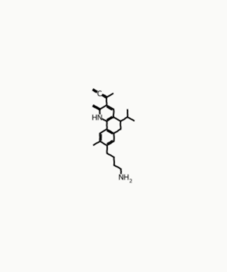 C=C=C(C)C1=CC2=C(NC1=C)c1cc(C)c(CCCCN)cc1CC2C(C)C